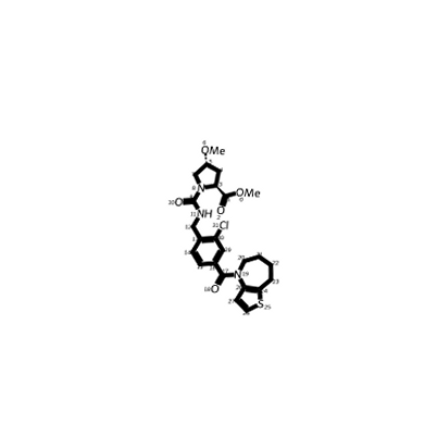 COC(=O)[C@@H]1C[C@@H](OC)CN1C(=O)NCc1ccc(C(=O)N2CCCCc3sccc32)cc1Cl